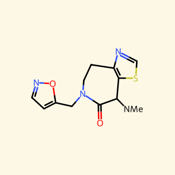 CNC1C(=O)N(Cc2ccno2)CCc2ncsc21